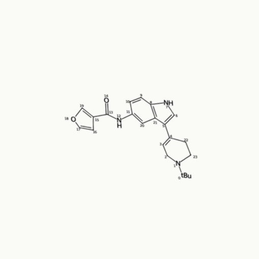 CC(C)(C)N1CC=C(c2c[nH]c3ccc(NC(=O)c4ccoc4)cc23)CC1